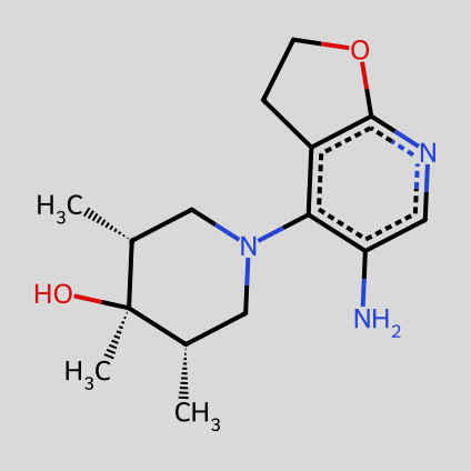 C[C@@H]1CN(c2c(N)cnc3c2CCO3)C[C@H](C)[C@@]1(C)O